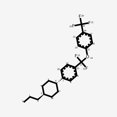 CCC[C@H]1CC[C@H](c2ccc(C(F)(F)Oc3ccc(C(F)(F)F)cc3)cc2)CC1